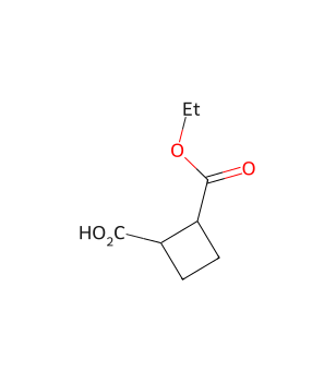 CCOC(=O)C1CCC1C(=O)O